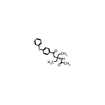 CCC(CC)(CC(=O)c1ccc(Sc2ccccc2)cc1)NC(C)=O